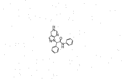 O=C(Nc1ccccc1)C(c1ccccc1)n1ncc2c1N=CNC2